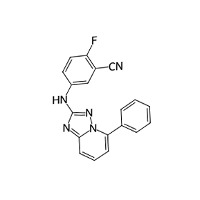 N#Cc1cc(Nc2nc3cccc(-c4ccccc4)n3n2)ccc1F